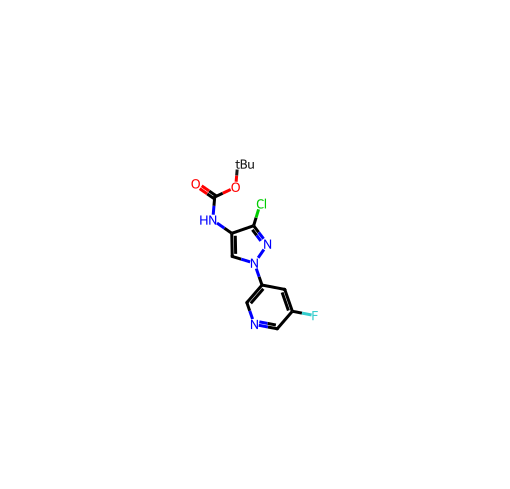 CC(C)(C)OC(=O)Nc1cn(-c2cncc(F)c2)nc1Cl